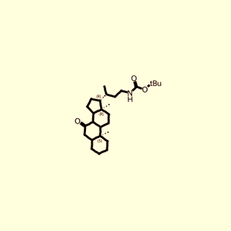 CC(CCNC(=O)OC(C)(C)C)[C@H]1CCC2C3C(=O)CC4CCCC[C@]4(C)C3CC[C@@]21C